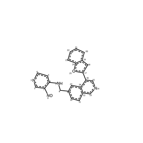 O=Nc1cnccc1NCc1ccc2cncc(-c3cc4ccccc4o3)c2c1